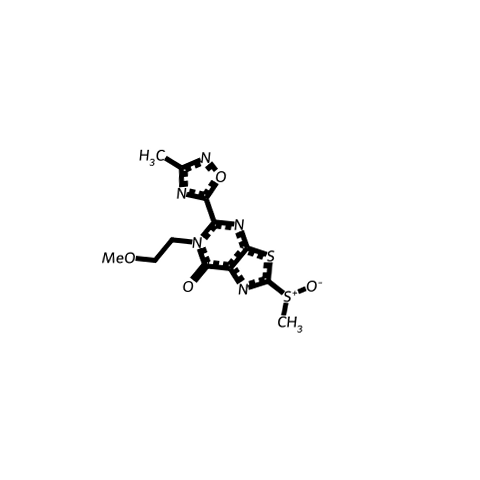 COCCn1c(-c2nc(C)no2)nc2sc([S+](C)[O-])nc2c1=O